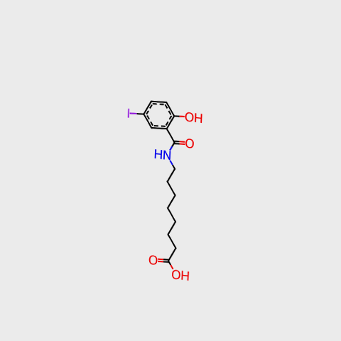 O=C(O)CCCCCCCNC(=O)c1cc(I)ccc1O